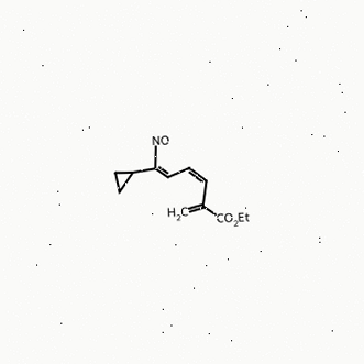 C=C(/C=C\C=C(/N=O)C1CC1)C(=O)OCC